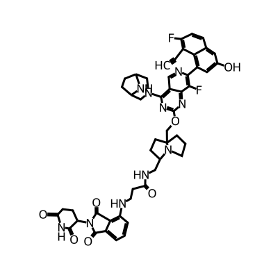 C#Cc1c(F)ccc2cc(O)cc(-c3ncc4c(N5CC6CCC(C5)N6)nc(OCC56CCCN5C(CNC(=O)CCNc5cccc7c5C(=O)N(C5CCC(=O)NC5=O)C7=O)CC6)nc4c3F)c12